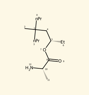 CCCC(C)(CCC)C[C@H](CC)OC(=O)[C@H](C)N